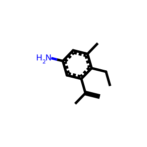 C=C(C)c1cc(N)cc(C)c1CC